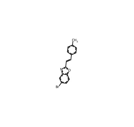 Cc1ccc(C=Cc2nc3cc(Br)ccc3o2)cc1